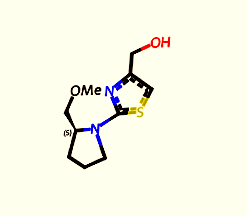 COC[C@@H]1CCCN1c1nc(CO)cs1